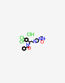 CN(CC(CCN1CCC(N2CCN(C)C2=O)CC1)c1ccc(Cl)c(Cl)c1)C(=O)c1ccccc1.Cl